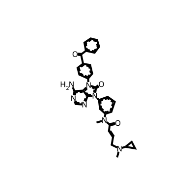 CN(C(=O)C=CCN(C)C1CC1)c1cccc(-n2c(=O)n(-c3ccc(C(=O)c4ccccc4)cc3)c3c(N)ncnc32)c1